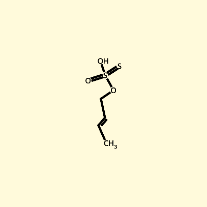 CC=CCOS(=O)(O)=S